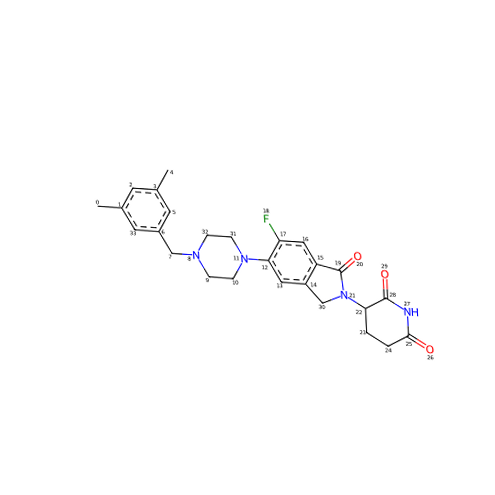 Cc1cc(C)cc(CN2CCN(c3cc4c(cc3F)C(=O)N(C3CCC(=O)NC3=O)C4)CC2)c1